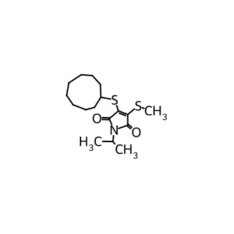 CSC1=C(SC2CCCCCCCC2)C(=O)N(C(C)C)C1=O